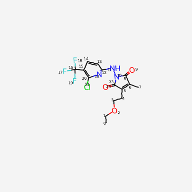 CCOCCC1=C(C)C(=O)N(Nc2ccc(C(F)(F)F)c(Cl)n2)C1=O